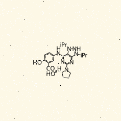 CC(C)N1NN(C(C)C)c2c(Nc3ccc(O)c(C(=O)O)c3)nc(N3CCC[C@@H]3CO)nc21